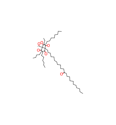 CCCCCCCCCCCC(=O)CCCCCCCCCCCC(C(=O)CCC)(C(=O)CCCCC)C([C]=O)(C(=O)CCCCCCC)C(=O)CCCCCCCCC